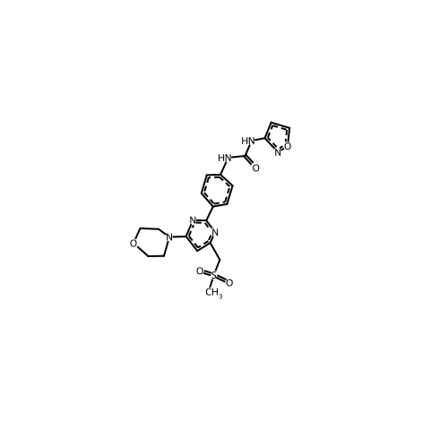 CS(=O)(=O)Cc1cc(N2CCOCC2)nc(-c2ccc(NC(=O)Nc3ccon3)cc2)n1